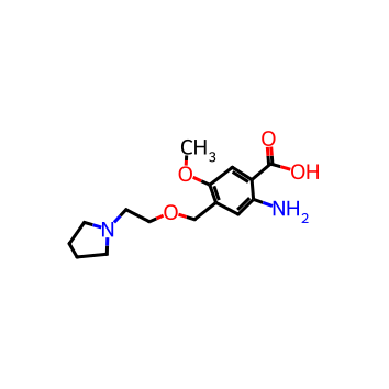 COc1cc(C(=O)O)c(N)cc1COCCN1CCCC1